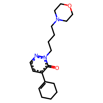 O=c1c(C2=CCCCC2)ccnn1CCCCN1CCOCC1